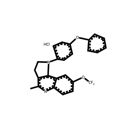 Cc1nc2ccc(OC(F)(F)F)cc2c2c1CCN2c1ccc(Oc2ccccc2)cc1.Cl